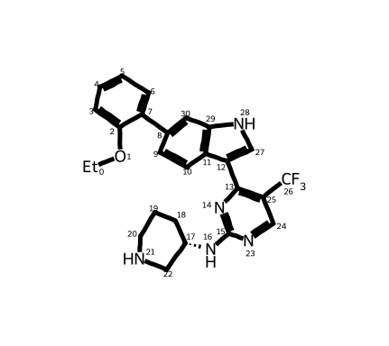 CCOc1ccccc1-c1ccc2c(-c3nc(N[C@H]4CCCNC4)ncc3C(F)(F)F)c[nH]c2c1